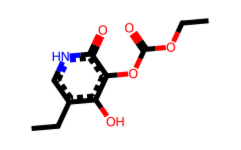 CCOC(=O)Oc1c(O)c(CC)c[nH]c1=O